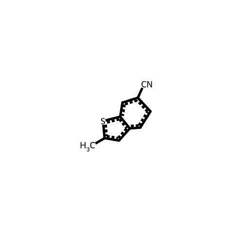 Cc1cc2ccc(C#N)cc2s1